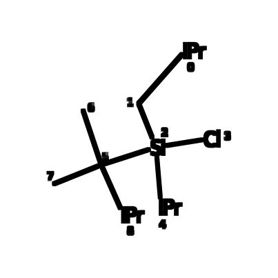 CC(C)C[Si](Cl)(C(C)C)C(C)(C)C(C)C